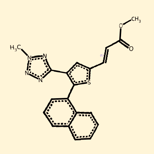 COC(=O)/C=C/c1cc(-c2nnn(C)n2)c(-c2cccc3ccccc23)s1